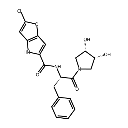 O=C(N[C@@H](Cc1ccccc1)C(=O)N1C[C@@H](O)[C@@H](O)C1)c1cc2oc(Cl)cc2[nH]1